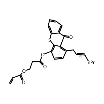 C=CC(=O)OCCC(=O)Oc1ccc(C/C=C/CCC)c2c(=O)c3ccccc3sc12